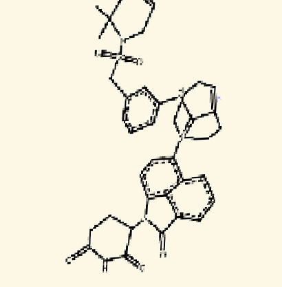 CC1(C)CC=CCN1S(=O)(=O)Cc1cccc(NC(=O)/C2=C\CCCN(c3ccc4c5c(cccc35)C(=O)N4C3CCC(=O)NC3=O)CC2)c1